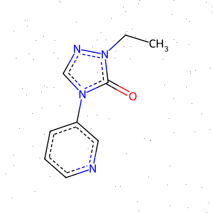 CCn1ncn(-c2cccnc2)c1=O